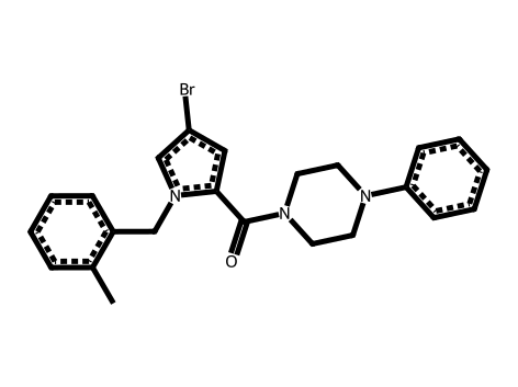 Cc1ccccc1Cn1cc(Br)cc1C(=O)N1CCN(c2ccccc2)CC1